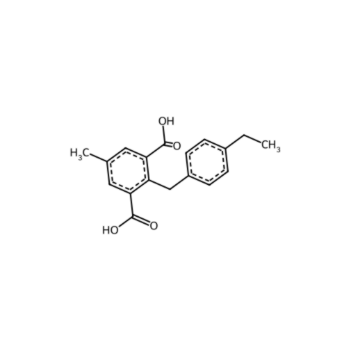 CCc1ccc(Cc2c(C(=O)O)cc(C)cc2C(=O)O)cc1